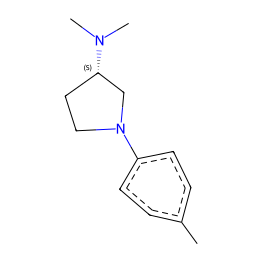 Cc1ccc(N2CC[C@H](N(C)C)C2)cc1